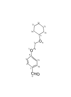 O=Cc1ccc(OCCOC2CCCCC2)cc1